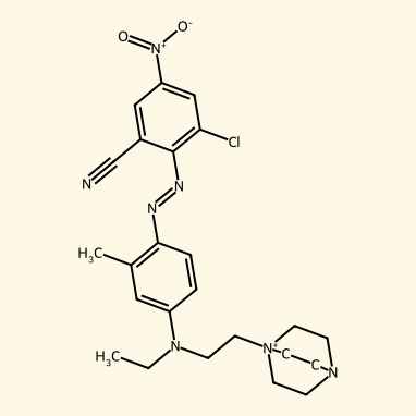 CCN(CC[N+]12CCN(CC1)CC2)c1ccc(N=Nc2c(Cl)cc([N+](=O)[O-])cc2C#N)c(C)c1